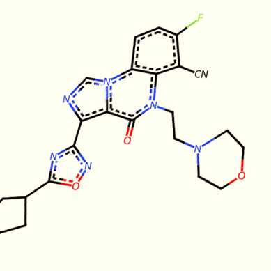 N#Cc1c(F)ccc2c1n(CCN1CCOCC1)c(=O)c1c(-c3noc(C4CCOC4)n3)ncn12